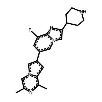 Cc1cn2cc(-c3cc(F)c4nc(C5CCNCC5)cn4c3)cc2c(C)n1